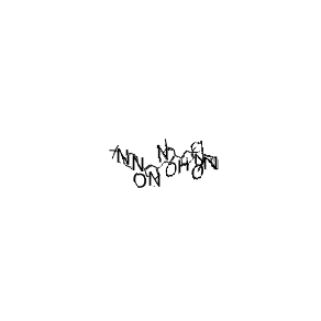 Cc1cc(-c2ccc(-n3ccn(C)c3=O)c(Cl)c2)c(O)c(-c2cc(N3CCN(C(C)(C)C)CC3)c(=O)n(C)c2)n1